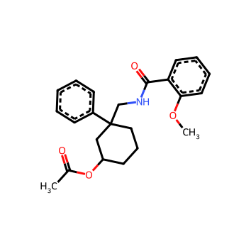 COc1ccccc1C(=O)NCC1(c2ccccc2)CCCC(OC(C)=O)C1